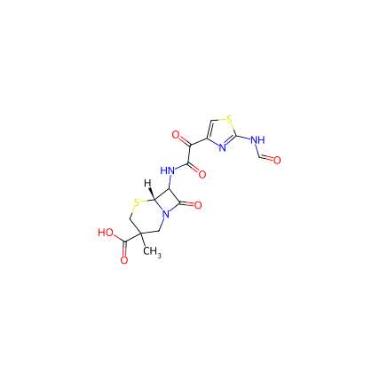 CC1(C(=O)O)CS[C@@H]2C(NC(=O)C(=O)c3csc(NC=O)n3)C(=O)N2C1